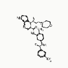 Cc1ccc(NC(=O)c2cccc(C(F)(F)F)c2)cc1NC(=O)c1cnc2[nH]ccc2c1NCCN1CCOCC1